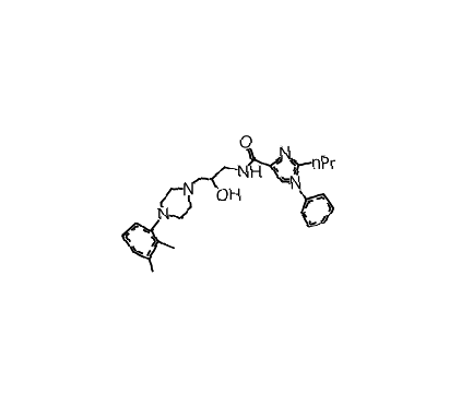 CCCc1nc(C(=O)NCC(O)CN2CCN(c3cccc(C)c3C)CC2)cn1-c1ccccc1